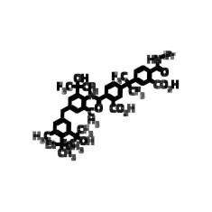 CCC(C)(C)c1c(C)cc(Cc2cc(C)c(NC(=O)c3ccc(C(c4ccc(C(=O)NC(C)C)c(C(=O)O)c4)(C(F)(F)F)C(F)(F)F)cc3C(=O)O)c(C(O)(C(F)(F)F)C(F)(F)F)c2)cc1C(O)(C(F)(F)F)C(F)(F)F